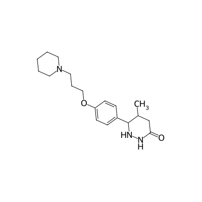 CC1CC(=O)NNC1c1ccc(OCCCN2CCCCC2)cc1